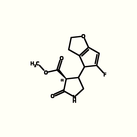 COC(=O)[C@@H]1C(=O)NCC1C1C(F)=CC2=C1CCO2